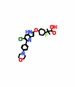 CC(C)(C(=O)O)[C@]1(F)CC[C@@H](Oc2cc3nc(-c4ccc(N5CCOCC5)cc4)c(Cl)cc3[nH]2)CC1